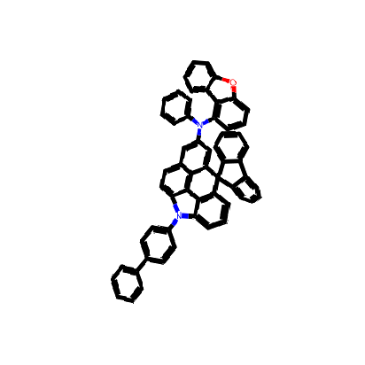 c1ccc(-c2ccc(-n3c4cccc5c4c4c6c(cc(N(c7ccccc7)c7cccc8oc9ccccc9c78)cc6ccc43)C53c4ccccc4-c4ccccc43)cc2)cc1